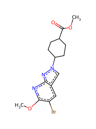 COC(=O)C1CCC(n2cc3cc(Br)c(OC)nc3n2)CC1